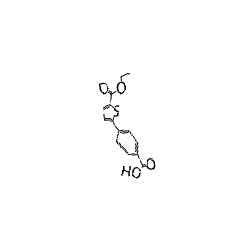 CCOC(=O)c1ccc(-c2ccc(C(=O)O)cc2)s1